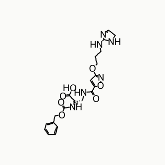 O=C(N[C@@H](CNC(=O)c1cc(OCCCNC2N=CCN2)no1)C(=O)O)OCc1ccccc1